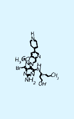 CCC[C@@H](CCO)Nc1nc(N)nc2c(Br)nn(Cc3ncc(C4=CCNCC4)cc3OC)c12